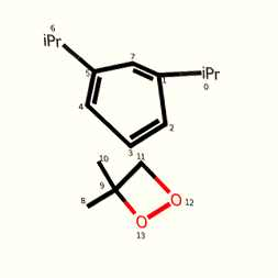 CC(C)c1cccc(C(C)C)c1.CC1(C)COO1